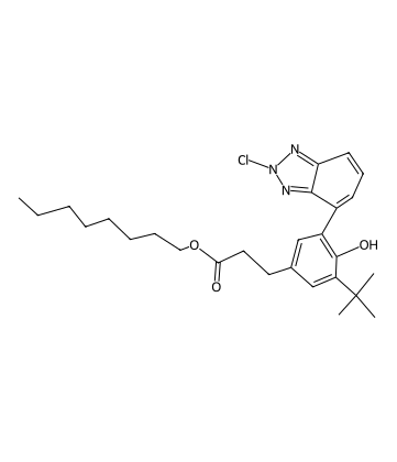 CCCCCCCCOC(=O)CCc1cc(-c2cccc3nn(Cl)nc23)c(O)c(C(C)(C)C)c1